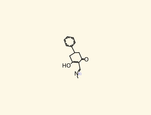 C/N=C/C1=C(O)CC(c2ccccc2)CC1=O